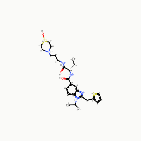 CCC(CC)n1c(Cc2cccs2)nc2cc(C(=O)N[C@@H](CC(C)C)C(=O)NCCCN3CC[S+]([O-])CC3)ccc21